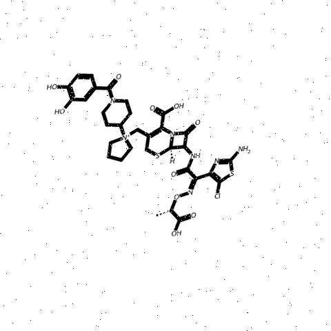 C[C@H](O/N=C(\C(=O)NC1C(=O)N2C(C(=O)O)=C(C[N+]3(C4CCN(C(=O)c5ccc(O)c(O)c5)CC4)CCCC3)CS[C@H]12)c1nc(N)sc1Cl)C(=O)O